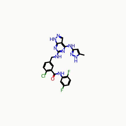 Cc1cc(Nc2nc(NCc3ccc(Cl)c(C(=O)Nc4cc(F)ccc4F)c3)nc3[nH]ncc23)n[nH]1